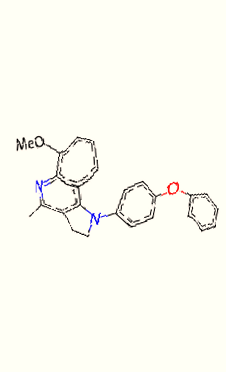 COc1cccc2c3c(c(C)nc12)CCN3c1ccc(Oc2ccccc2)cc1